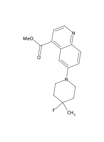 COC(=O)c1ccnc2ccc(N3CCC(C)(F)CC3)cc12